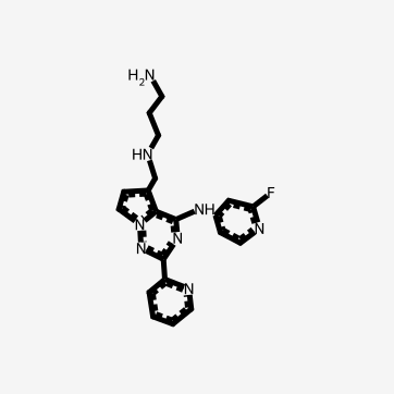 NCCCNCc1ccn2nc(-c3ccccn3)nc(Nc3ccnc(F)c3)c12